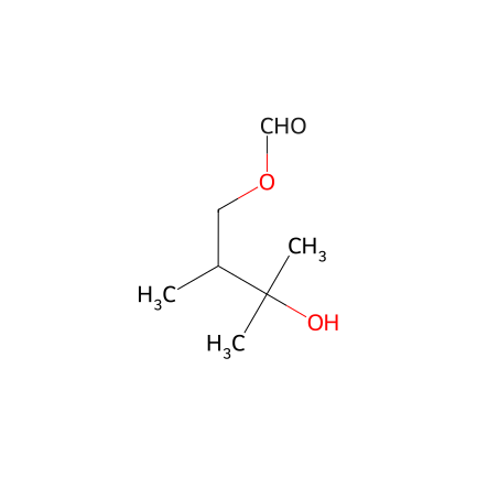 CC(COC=O)C(C)(C)O